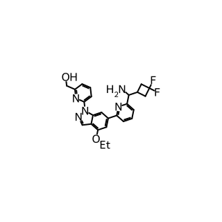 CCOc1cc(-c2cccc(C(N)C3CC(F)(F)C3)n2)cc2c1cnn2-c1cccc(CO)n1